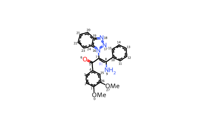 COc1ccc(C(=O)/C(=C(\N)c2ccccc2)n2nnc3ccccc32)cc1OC